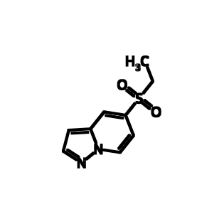 CCS(=O)(=O)c1ccn2nccc2c1